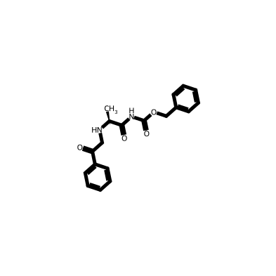 C[C@H](NCC(=O)c1ccccc1)C(=O)NC(=O)OCc1ccccc1